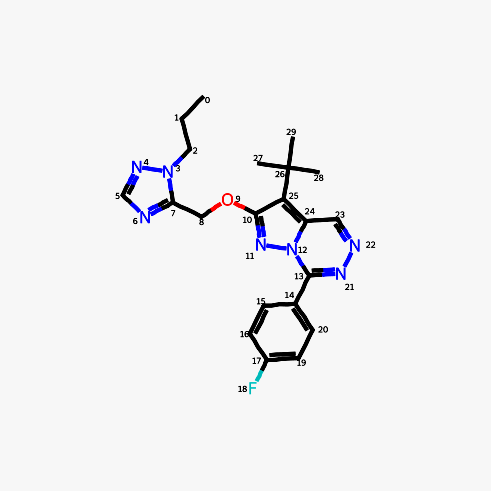 CCCn1ncnc1COc1nn2c(-c3ccc(F)cc3)nncc2c1C(C)(C)C